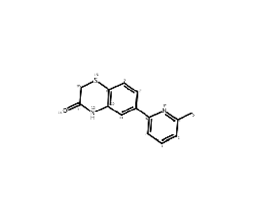 Cc1cccc(-c2ccc3c(c2)NC(=O)CS3)n1